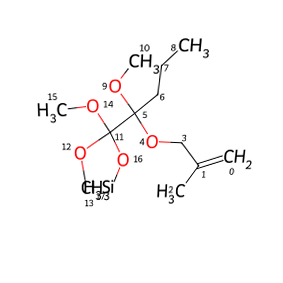 C=C(C)COC(CCC)(OC)C(OC)(OC)O[SiH3]